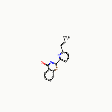 O=C(O)C=Cc1cccc(-c2nc(=O)c3ccccc3s2)n1